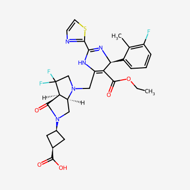 CCOC(=O)C1=C(CN2CC(F)(F)[C@@H]3C(=O)N([C@H]4C[C@@H](C(=O)O)C4)C[C@@H]32)NC(c2nccs2)=N[C@H]1c1cccc(F)c1C